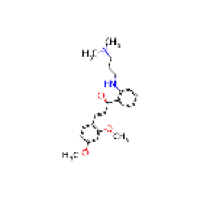 COc1ccc(C=CC(=O)c2ccccc2NCCCN(C)C)c(OC)c1